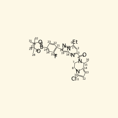 CCc1cc(C(=O)N2CCn3c(Cl)ccc3C2C)nc2cc(-c3ccc(B4OC(C)(C)C(C)(C)O4)cc3F)nn12